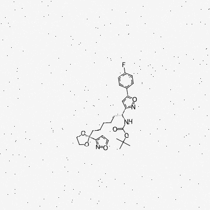 CC(C)(C)OC(=O)N[C@H](CCCCCC1(c2ccon2)OCCO1)c1cc(-c2ccc(F)cc2)on1